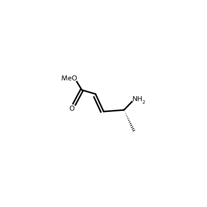 COC(=O)/C=C/[C@@H](C)N